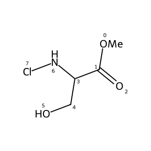 COC(=O)C(CO)NCl